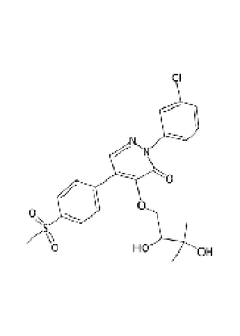 CC(C)(O)C(O)COc1c(-c2ccc(S(C)(=O)=O)cc2)cnn(-c2cccc(Cl)c2)c1=O